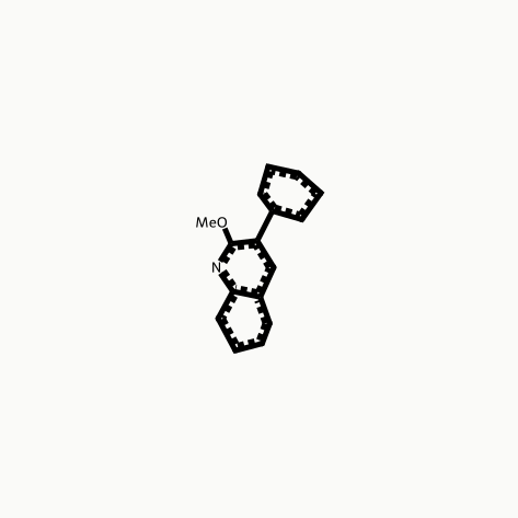 COc1nc2ccccc2cc1-c1ccccc1